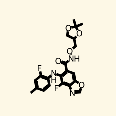 Cc1ccc(Nc2c(C(=O)NOCC3COC(C)(C)O3)cc3ocnc3c2F)c(F)c1